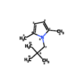 Cc1ccc(C)n1CC(C)(C)C